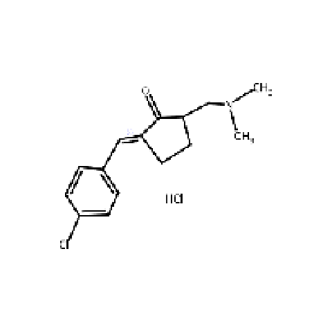 CN(C)CC1CC/C(=C\c2ccc(Cl)cc2)C1=O.Cl